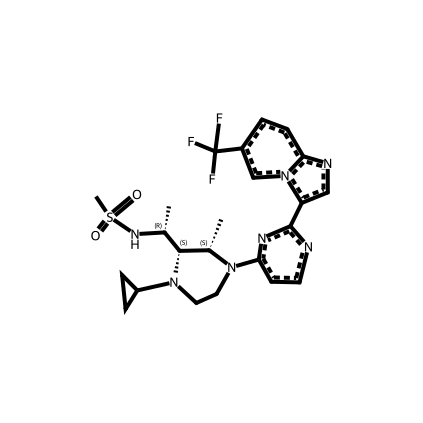 C[C@@H](NS(C)(=O)=O)[C@@H]1[C@H](C)N(c2ccnc(-c3cnc4ccc(C(F)(F)F)cn34)n2)CCN1C1CC1